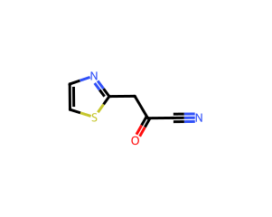 N#CC(=O)Cc1nccs1